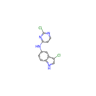 Clc1nccc(Nc2ccc3[nH]cc(Cl)c3c2)n1